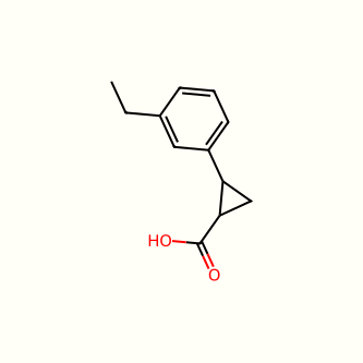 CCc1cccc(C2CC2C(=O)O)c1